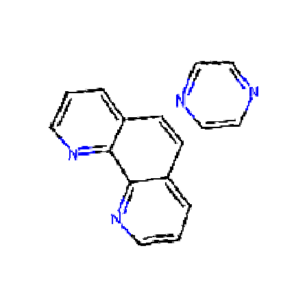 c1cnc2c(c1)ccc1cccnc12.c1cnccn1